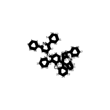 c1ccc(-c2cc(-n3c4ccccc4c4c5c(ccc43)C3(c4ccccc4O5)c4ccccc4-n4c5ccccc5c5cccc3c54)cc(-c3ccccc3)n2)cc1